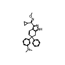 CO/N=C(/c1n[nH]c2c1C=CC(c1ccccc1)(c1cccc(N(C)C)c1)C2)C1CC1